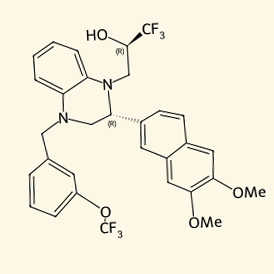 COc1cc2ccc([C@@H]3CN(Cc4cccc(OC(F)(F)F)c4)c4ccccc4N3C[C@@H](O)C(F)(F)F)cc2cc1OC